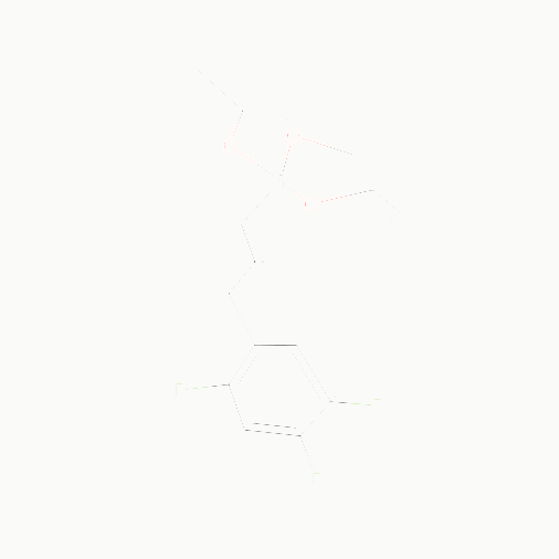 CCO[Si](CCCc1cc(F)c(F)cc1F)(OC)OCC